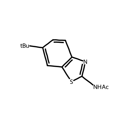 CC(=O)Nc1nc2ccc(C(C)(C)C)cc2s1